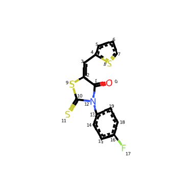 O=C1/C(=C\c2cccs2)SC(=S)N1c1ccc(F)cc1